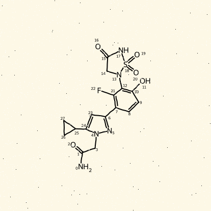 NC(=O)Cn1nc(-c2ccc(O)c(N3CC(=O)NS3(=O)=O)c2F)cc1C1CC1